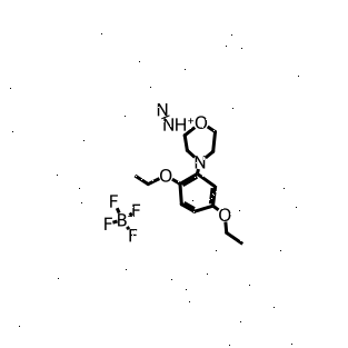 CCOc1ccc(OCC)c(N2CCOCC2)c1.F[B-](F)(F)F.N#[NH+]